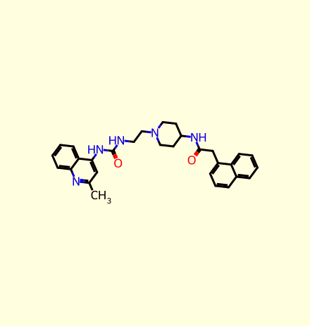 Cc1cc(NC(=O)NCCN2CCC(NC(=O)Cc3cccc4ccccc34)CC2)c2ccccc2n1